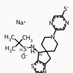 CC(C)(C)[S@@+]([O-])N[C@@H]1c2scnc2CC12CCN(c1cnc([S-])cn1)CC2.[Na+]